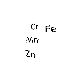 [Cr].[Fe].[Mn].[Zn]